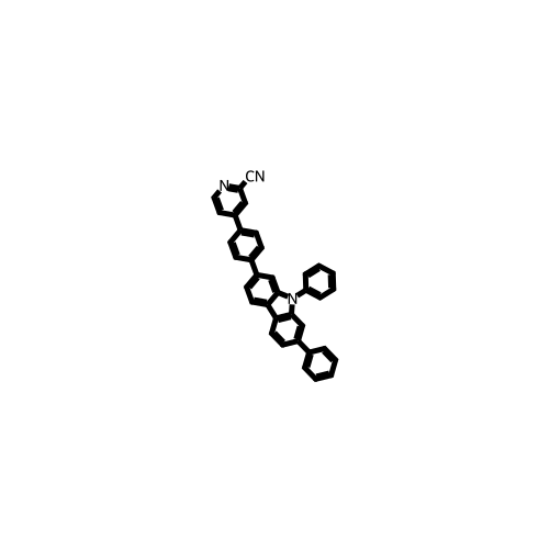 N#Cc1cc(-c2ccc(-c3ccc4c5ccc(-c6ccccc6)cc5n(-c5ccccc5)c4c3)cc2)ccn1